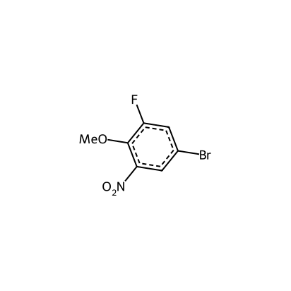 COc1c(F)cc(Br)cc1[N+](=O)[O-]